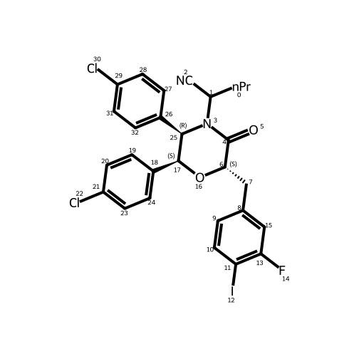 CCCC(C#N)N1C(=O)[C@H](Cc2ccc(I)c(F)c2)O[C@@H](c2ccc(Cl)cc2)[C@H]1c1ccc(Cl)cc1